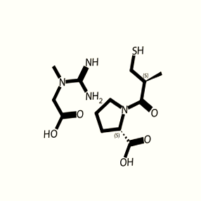 CN(CC(=O)O)C(=N)N.C[C@H](CS)C(=O)N1CCC[C@H]1C(=O)O